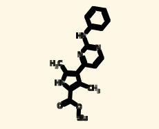 Cc1[nH]c(C(=O)OC(C)(C)C)c(C)c1-c1ccnc(Nc2ccccc2)n1